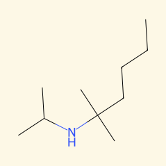 CCCCC(C)(C)NC(C)C